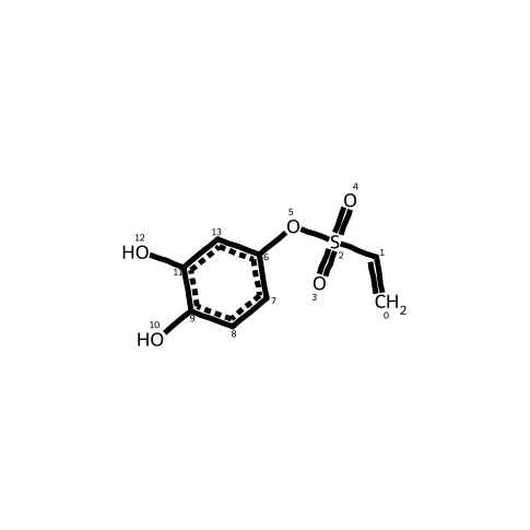 C=CS(=O)(=O)Oc1ccc(O)c(O)c1